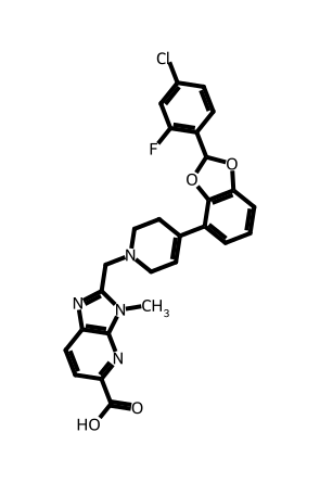 Cn1c(CN2CC=C(c3cccc4c3OC(c3ccc(Cl)cc3F)O4)CC2)nc2ccc(C(=O)O)nc21